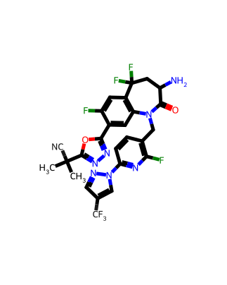 CC(C)(C#N)c1nnc(-c2cc3c(cc2F)C(F)(F)CC(N)C(=O)N3Cc2ccc(-n3cc(C(F)(F)F)cn3)nc2F)o1